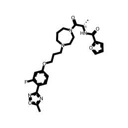 Cc1nc(-c2ccc(OCCCN3CCCN(C(=O)[C@H](C)NC(=O)c4ccco4)CC3)cc2F)no1